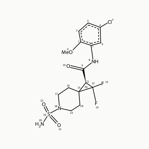 COc1ccc(Cl)cc1NC(=O)[C@H]1C(F)(F)C12CCN(S(N)(=O)=O)CC2